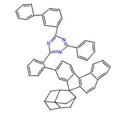 c1ccc(-c2cccc(-c3nc(-c4ccccc4)nc(-c4ccccc4-c4ccc5c(c4)C4(c6ccc7ccccc7c6-5)C5CC6CC(C5)CC4C6)n3)c2)cc1